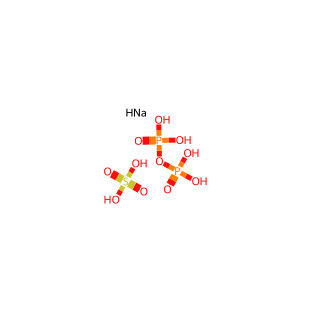 O=P(O)(O)OP(=O)(O)O.O=S(=O)(O)O.[NaH]